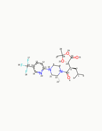 CC(C)C[C@@H](C(=O)N1CCN(c2ccc(C(F)(F)F)cn2)C[C@H]1C)[C@@H]1OC(C)(C)OC1=O